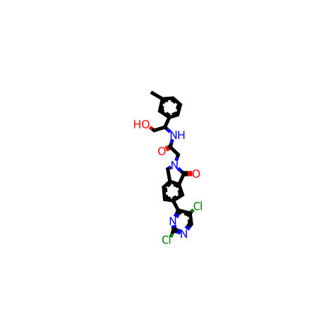 Cc1cccc(C(CO)NC(=O)CN2Cc3ccc(-c4nc(Cl)ncc4Cl)cc3C2=O)c1